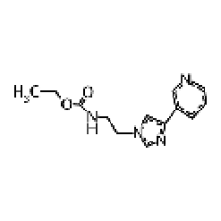 CCOC(=O)NCCn1cnc(-c2cccnc2)c1